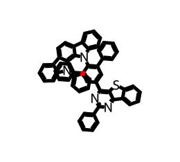 c1ccc(-c2nc(-c3cc(-c4ccccc4)c(-n4c5ccccc5c5ccc6c7ccccc7n(-c7ccccc7)c6c54)c(-c4ccccc4)c3)c3sc4ccccc4c3n2)cc1